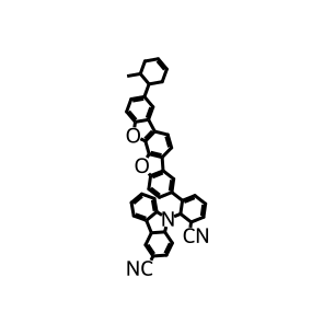 CC1CC=CCC1c1ccc2oc3c(ccc4c5cc(C6=CC=CC(C#N)C6N6c7ccccc7C7C=C(C#N)C=CC76)ccc5oc43)c2c1